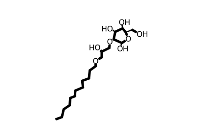 CCCCCCCCCCCCOCC(O)CO[C@@H]1[C@@H](O)[C@@H](O)[C@@H](CO)O[C@H]1O